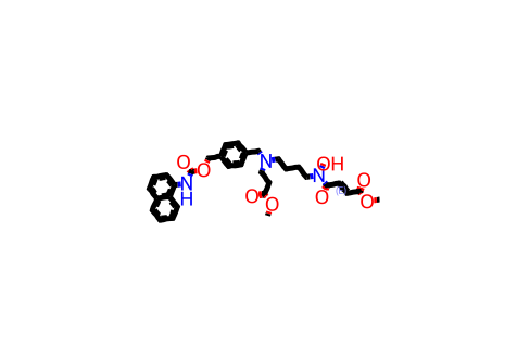 COC(=O)/C=C/C(=O)N(O)CCCCN(CCC(=O)OC)Cc1ccc(COC(=O)Nc2cccc3ccccc23)cc1